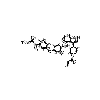 C=CC(=O)N1CCC(c2n[nH]c3ncnc(Nc4ccc(Oc5ccnc(NC(=O)C(C)(C)C)c5)cc4F)c23)CC1